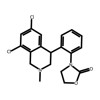 CN1Cc2c(Cl)cc(Cl)cc2C(c2ccccc2N2CCOC2=O)C1